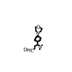 CN(C)C(CCC=O)c1ccc(N2CCOCC2)cc1